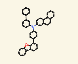 c1ccc(-c2cccc(N(c3ccc(-c4cccc5c4oc4ccccc45)cc3)c3ccc4c(ccc5ccccc54)c3)c2)cc1